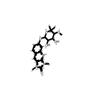 COC1C(O)C(O)C(Oc2ccc3cc4c(nc3c2)n(C)c(=O)n4C)OC1(C)C